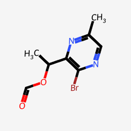 Cc1cnc(Br)c(C(C)OC=O)n1